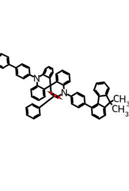 CC1(C)c2ccccc2-c2c(-c3ccc(N4c5ccccc5C5(c6ccccc6N(c6ccc(-c7ccccc7)cc6)c6ccccc65)c5cc(-c6ccccc6)ccc54)cc3)cccc21